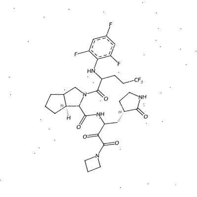 O=C(C(=O)N1CCC1)C(C[C@@H]1CCNC1=O)NC(=O)C1[C@H]2CCCC2CN1C(=O)C(CCC(F)(F)F)Nc1c(F)cc(F)cc1F